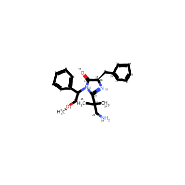 COCC(c1ccccc1)N1C(=O)[C@@H](Cc2ccccc2)N=C1C(C)(C)CN